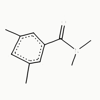 Cc1cc(C)cc(C(=O)N(C)C)c1